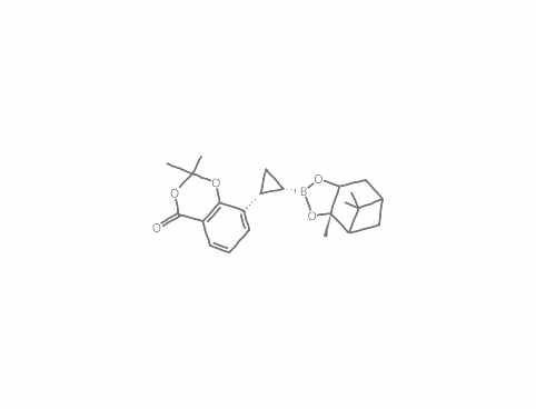 CC1(C)OC(=O)c2cccc([C@@H]3C[C@@H]3B3OC4CC5CC(C5(C)C)[C@]4(C)O3)c2O1